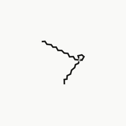 CCCCCCCCCCCCC[N+]1(CCCCCCCCC)CCCC1